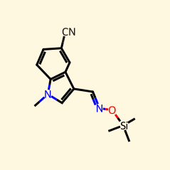 Cn1cc(/C=N/O[Si](C)(C)C)c2cc(C#N)ccc21